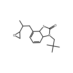 CC(CC1=CC=CC2C1SC(=O)N2CC(C)(C)C)C1CO1